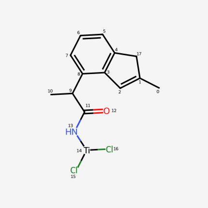 CC1=Cc2c(cccc2C(C)C(=O)[NH][Ti]([Cl])[Cl])C1